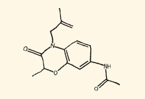 C=C(C)CN1C(=O)C(C)Oc2cc(NC(C)=O)ccc21